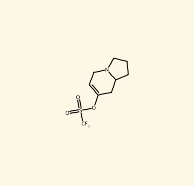 O=S(=O)(OC1=CCN2CCCC2C1)C(F)(F)F